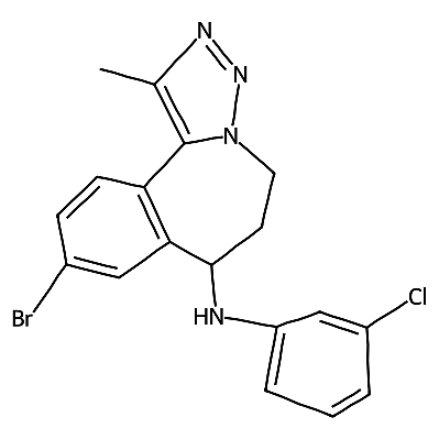 Cc1nnn2c1-c1ccc(Br)cc1C(Nc1cccc(Cl)c1)CC2